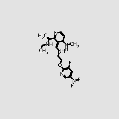 C=C(NCC)C1=NC=CC(NC)/C1=C\NCCOc1ncc(N(F)F)cc1F